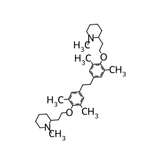 Cc1cc(CCc2cc(C)c(OCCC3CCCCN3C)c(C)c2)cc(C)c1OCCC1CCCCN1C